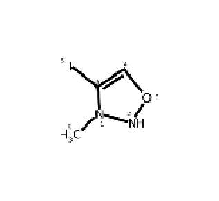 CN1NOC=C1I